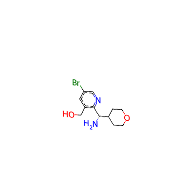 N[C@H](c1ncc(Br)cc1CO)C1CCOCC1